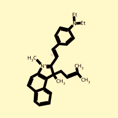 CCN(CC)c1ccc(/C=C/C2=[N+](C)c3ccc4ccccc4c3C2(C)CC=C(C)C)cc1